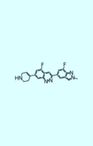 Cn1cc2cc(-c3cc4c(F)cc(C5=CCNCC5)cc4nn3)cc(F)c2n1